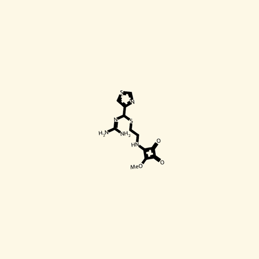 COc1c(NCCSC(N=C(N)N)c2cscn2)c(=O)c1=O